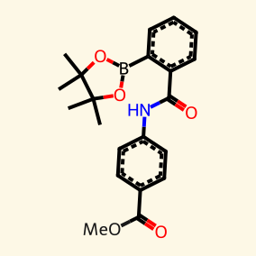 COC(=O)c1ccc(NC(=O)c2ccccc2B2OC(C)(C)C(C)(C)O2)cc1